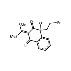 CSC(SC)=C1C(=O)c2ccccc2C([O])(CCC(C)C)C1=O